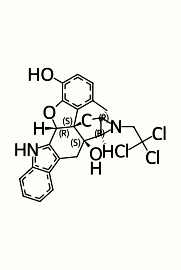 Oc1ccc2c3c1O[C@H]1c4[nH]c5ccccc5c4C[C@@]4(O)[C@@H]5N(CC(Cl)(Cl)Cl)[C@]5(C2)C[C@]314